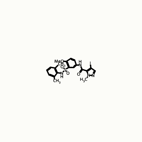 COc1ccc(NC(=O)c2c(I)cnn2C)cc1S(=O)(=O)Nc1c(C)cccc1C